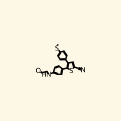 CSc1ccc(-c2cc(C#N)sc2-c2ccc(NCC=O)cc2)cc1